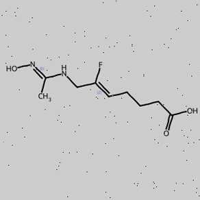 C/C(=N\O)NC/C(F)=C/CCCC(=O)O